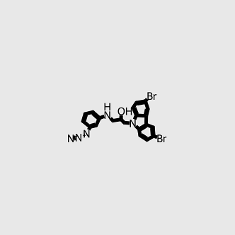 [N-]=[N+]=Nc1cccc(NCC(O)Cn2c3ccc(Br)cc3c3cc(Br)ccc32)c1